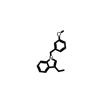 CCc1cn(Cc2cccc(OC)c2)c2ccccc12